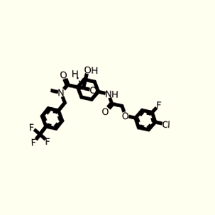 CN(Cc1ccc(C(F)(F)F)cc1)C(=O)C12CCC(NC(=O)COc3ccc(Cl)c(F)c3)(CC1)C[C@@H]2O